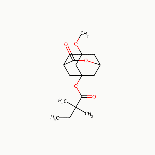 CCC(C)(C)C(=O)OC12CC3CC(OC)(CC(C1)C(=O)O3)C2